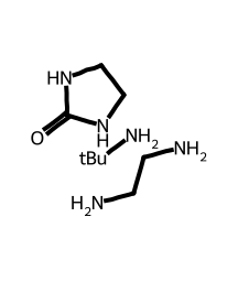 CC(C)(C)N.NCCN.O=C1NCCN1